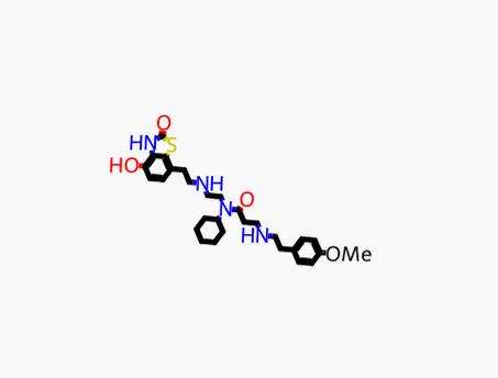 COc1ccc(CCNCCC(=O)N(CCNCCc2ccc(O)c3[nH]c(=O)sc23)C2CCCCC2)cc1